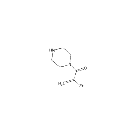 C=C(CC)C(=O)N1CCNCC1